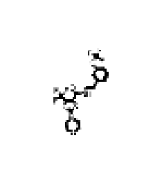 O=C(NCCc1cccc(OC(F)(F)F)c1)c1sc(N2CCOCC2)nc1C(F)(F)F